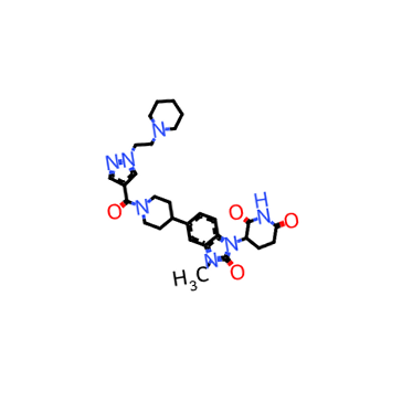 Cn1c(=O)n(C2CCC(=O)NC2=O)c2ccc(C3CCN(C(=O)c4cnn(CCN5CCCCC5)c4)CC3)cc21